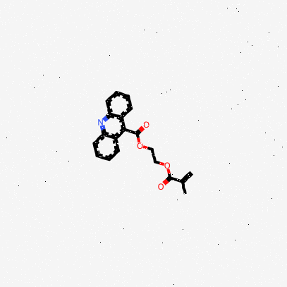 C=C(C)C(=O)OCCOC(=O)c1c2ccccc2nc2ccccc12